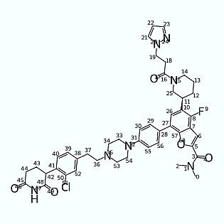 CN(C)C(=O)c1cc2c(F)c([C@@H]3CCCN(C(=O)CCn4cccn4)C3)cc(-c3ccc(N4CCN(CCc5ccc(C6CCC(=O)NC6=O)c(Cl)c5)CC4)cc3)c2o1